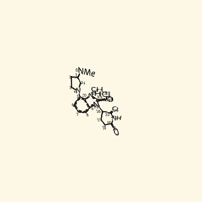 CNC1CCN(c2cccc3c2n(C)c(=O)n3C2CCC(=O)NC2=O)C1.Cl